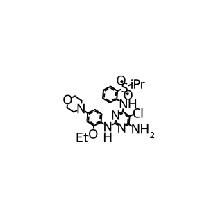 CCOc1cc(N2CCOCC2)ccc1Nc1nc(N)c(Cl)c(Nc2ccccc2S(=O)(=O)C(C)C)n1